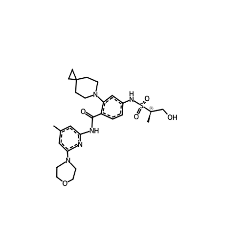 Cc1cc(NC(=O)c2ccc(NS(=O)(=O)[C@H](C)CO)cc2N2CCC3(CC2)CC3)nc(N2CCOCC2)c1